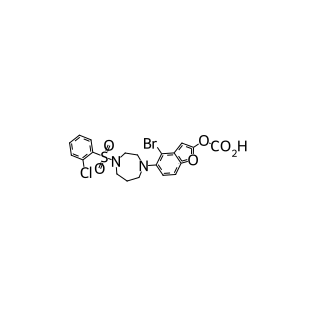 O=C(O)Oc1cc2c(Br)c(N3CCCN(S(=O)(=O)c4ccccc4Cl)CC3)ccc2o1